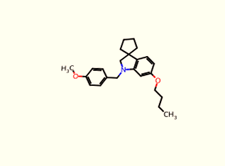 CCCCOc1ccc2c(c1)N(Cc1ccc(OC)cc1)CC21CCCC1